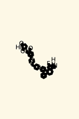 O=C1CC[C@H](N2Cc3cc(N4CCN(CC5CCN(c6ccc(C7=C(c8ccccc8)CCCc8c7cc(F)c7[nH]ncc87)cc6)CC5)CC4)ccc3C2=O)C(=O)N1